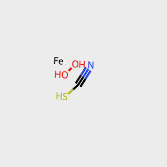 N#CS.OO.[Fe]